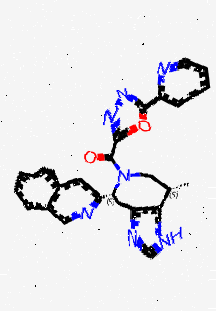 C[C@H]1CN(C(=O)c2nnc(-c3ccccn3)o2)[C@@H](c2cc3ccccc3cn2)c2nc[nH]c21